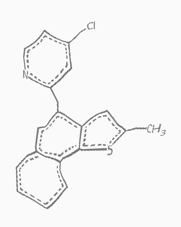 Cc1cc2c(-c3cc(Cl)ccn3)cc3ccccc3c2s1